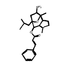 CC(C)CC12CC(N)C(C)(O1)C1CCC(C)C1C2OC(=O)/C=C/c1ccccc1